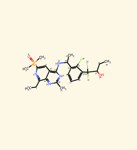 CCc1nc(P(C)(C)=O)cc2c(NC(C)c3cccc(C(F)(F)C(O)CC)c3F)nc(C)nc12